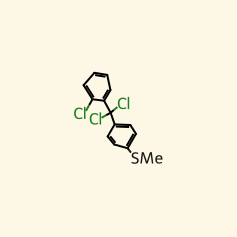 CSc1ccc(C(Cl)(Cl)c2ccccc2Cl)cc1